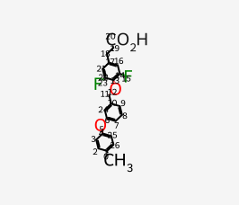 Cc1ccc(Oc2cccc(COc3c(F)cc(CCC(=O)O)cc3F)c2)cc1